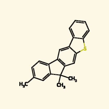 Cc1ccc2c(c1)C(C)(C)c1cc3sc4ccccc4c3cc1-2